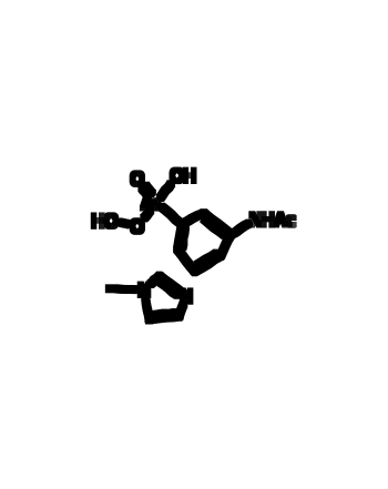 CC(=O)Nc1cccc([As](=O)(O)OO)c1.Cn1ccnc1